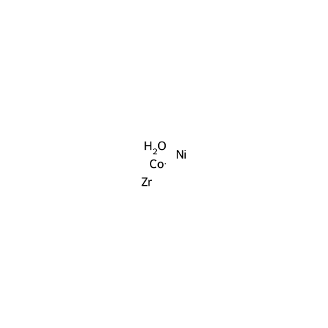 O.[Co].[Ni].[Zr]